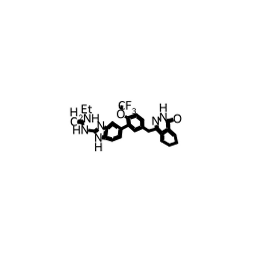 C=C(NCC)Nc1nc2cc(-c3cc(Cc4n[nH]c(=O)c5c4=CCCC=5)ccc3OC(F)(F)F)ccc2[nH]1